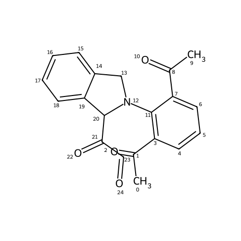 CC(=O)c1cccc(C(C)=O)c1N1Cc2ccccc2C1C(=O)C=O